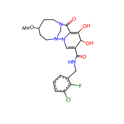 COC1CCN2CN(CC1)N1C=C(C(=O)NCc3cccc(Cl)c3F)C(O)C(O)=C1C2=O